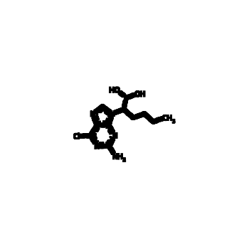 CCCCC(B(O)O)n1cnc2c(Cl)nc(N)nc21